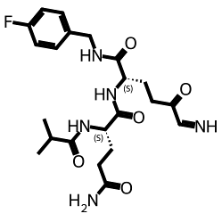 CC(C)C(=O)N[C@@H](CCC(N)=O)C(=O)N[C@@H](CCC(=O)C=N)C(=O)NCc1ccc(F)cc1